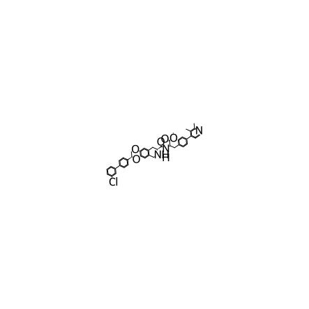 COC(=O)C(Cc1ccc(-c2ccnc(C)c2C)cc1)NC(=O)[C@@H]1Cc2cc3c(cc2CN1)O[C@@H](c1ccc(-c2cccc(Cl)c2)cc1)CO3